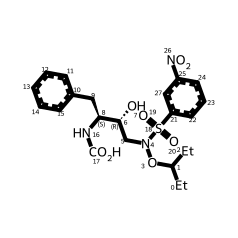 CCC(CC)ON(C[C@@H](O)[C@H](Cc1ccccc1)NC(=O)O)S(=O)(=O)c1cccc([N+](=O)[O-])c1